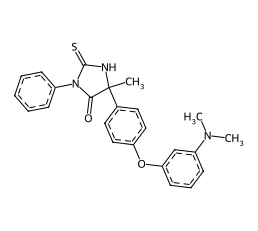 CN(C)c1cccc(Oc2ccc(C3(C)NC(=S)N(c4ccccc4)C3=O)cc2)c1